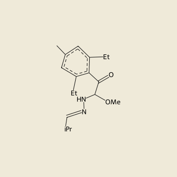 CCc1cc(C)cc(CC)c1C(=O)C(NN=CC(C)C)OC